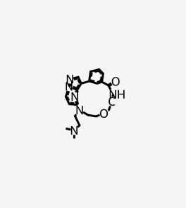 CN(C)CCN1CCOCCNC(=O)c2cccc(c2)-c2cnn3ccc1nc23